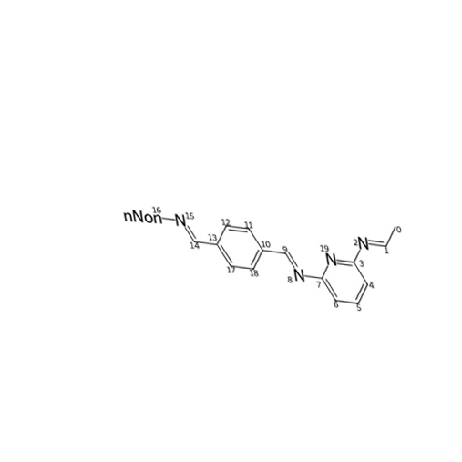 C/C=N/c1cccc(/N=C/c2ccc(C=NCCCCCCCCC)cc2)n1